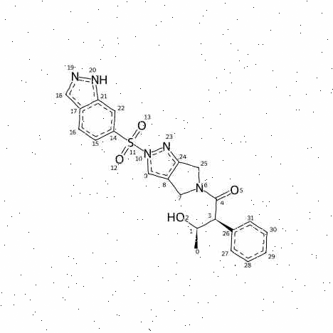 C[C@@H](O)[C@@H](C(=O)N1Cc2cn(S(=O)(=O)c3ccc4cn[nH]c4c3)nc2C1)c1ccccc1